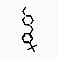 CCN1CCN(Cc2cccc(C(C)(C)C)c2)CC1